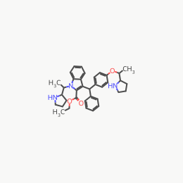 CCOC(=O)c1c(C(c2ccccc2)c2ccc(OC(C)C3CCCN3)cc2)c2ccccc2n1C(C)C1CCCN1